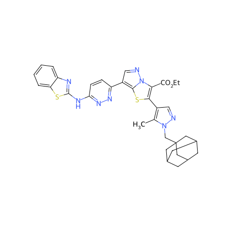 CCOC(=O)c1c(-c2cnn(CC34CC5CC(CC(C5)C3)C4)c2C)sc2c(-c3ccc(Nc4nc5ccccc5s4)nn3)cnn12